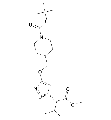 COC(=O)C(c1cc(OCC2CCN(C(=O)OC(C)(C)C)CC2)no1)C(C)C